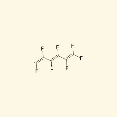 F/[C]=C(F)\C(F)=C(/F)C(F)=C(F)F